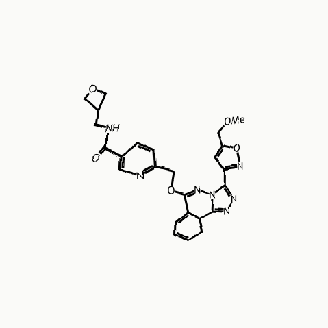 COCc1cc(-c2nnc3n2N=C(OCc2ccc(C(=O)NCC4COC4)cn2)C2=CC=CCC23)no1